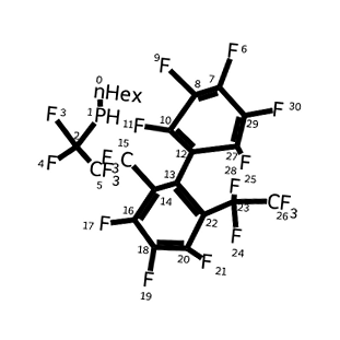 CCCCCCPC(F)(F)C(F)(F)F.Fc1c(F)c(F)c(-c2c(C(F)(F)F)c(F)c(F)c(F)c2C(F)(F)C(F)(F)F)c(F)c1F